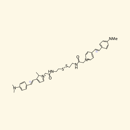 CNc1ccc(/C=C/c2cc[n+](CC(=O)NCCSSCCNC(=O)C[N+]3=CC=C(/C=C/c4ccc(N(C)C)cc4)C3C)cc2)cc1